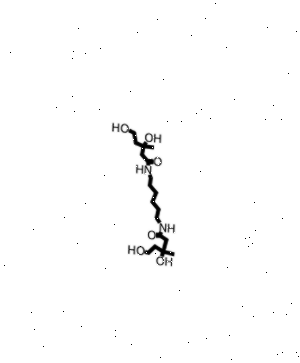 CC(O)(CCO)CC(=O)NCCCCCCNC(=O)CC(C)(O)CCO